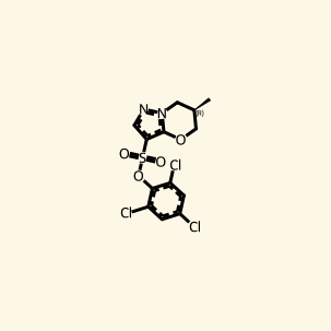 C[C@H]1COc2c(S(=O)(=O)Oc3c(Cl)cc(Cl)cc3Cl)cnn2C1